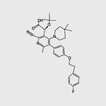 Cc1nc(C#N)c([C@H](OC(C)(C)C)C(=O)O)c(N2CCC(C)(C)CC2)c1-c1ccc(OCCc2ccc(F)cc2)cc1